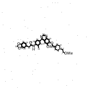 COCCN1CCC(COc2cc3ncnc(-c4ccc(NC(=O)Cc5ccc6c(c5)OCO6)c(C)c4)c3cc2OC)CC1